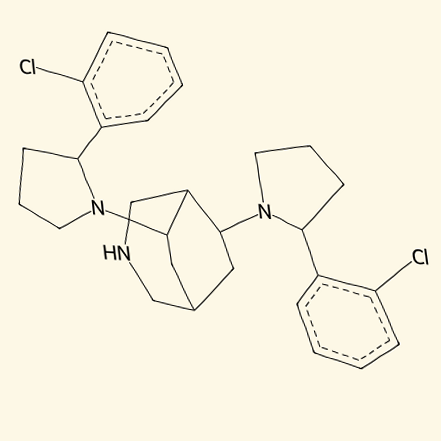 Clc1ccccc1C1CCCN1C1CC2CNCC1C(N1CCCC1c1ccccc1Cl)C2